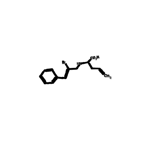 C=CCC(NC/C(Br)=C/c1ccccc1)C(=O)O